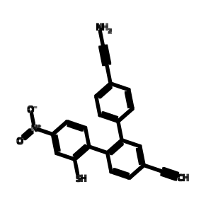 C#Cc1ccc(-c2ccc([N+](=O)[O-])cc2S)c(-c2ccc(C#CN)cc2)c1